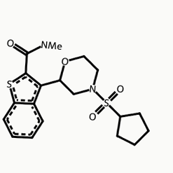 CNC(=O)c1sc2ccccc2c1C1CN(S(=O)(=O)C2CCCC2)CCO1